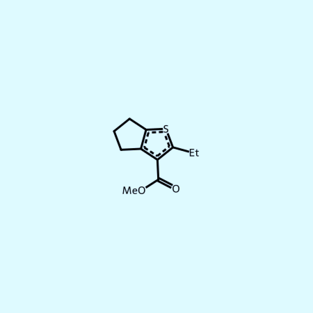 CCc1sc2c(c1C(=O)OC)CCC2